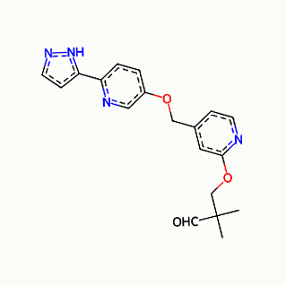 CC(C)(C=O)COc1cc(COc2ccc(-c3ccn[nH]3)nc2)ccn1